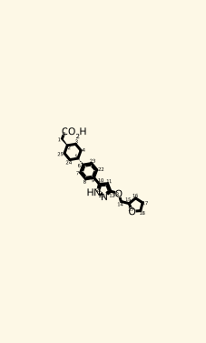 O=C(O)C[C@H]1CC[C@H](c2ccc(-c3cc(OCC4CCCO4)n[nH]3)cc2)CC1